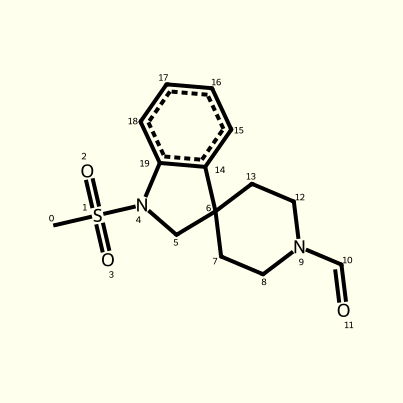 CS(=O)(=O)N1CC2(CCN(C=O)CC2)c2ccccc21